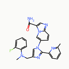 Cc1cccc(-c2nc(CN(C)c3ccccc3F)cn2-c2ccc3ncc(C(N)=O)n3c2)n1